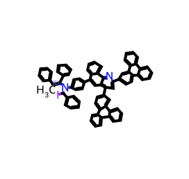 C/C(=C(/c1ccccc1)N(c1ccc(-c2cc3c(-c4ccc5c6ccccc6c6ccccc6c5c4)cc(-c4ccc5c6ccccc6c6ccccc6c5c4)nc3c3ccccc23)cc1)C(I)c1ccccc1)c1ccccc1